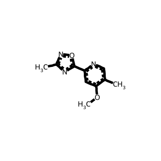 COc1cc(-c2nc(C)no2)ncc1C